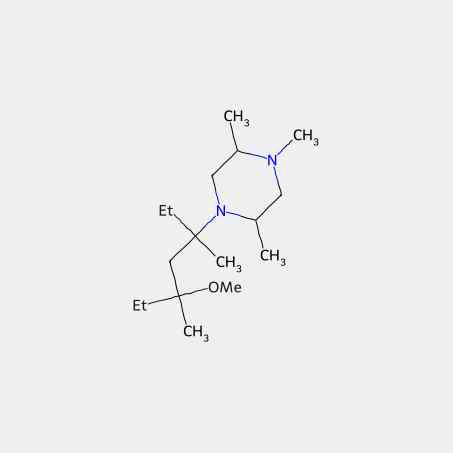 CCC(C)(CC(C)(CC)N1CC(C)N(C)CC1C)OC